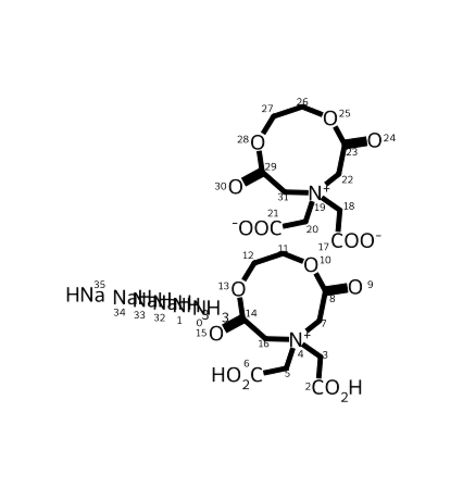 N.N.O=C(O)C[N+]1(CC(=O)O)CC(=O)OCCOC(=O)C1.O=C([O-])C[N+]1(CC(=O)[O-])CC(=O)OCCOC(=O)C1.[NaH].[NaH].[NaH].[NaH]